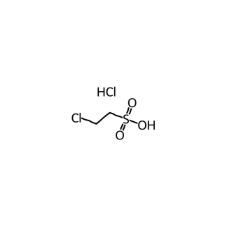 Cl.O=S(=O)(O)CCCl